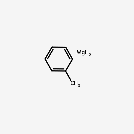 Cc1c[c]ccc1.[MgH2]